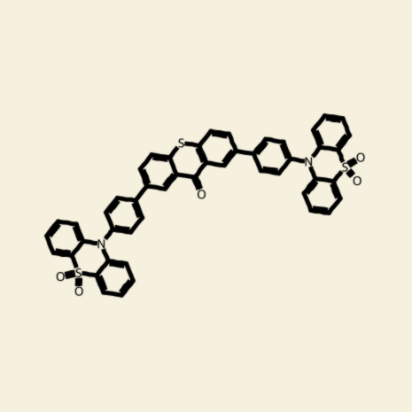 O=c1c2cc(-c3ccc(N4c5ccccc5S(=O)(=O)c5ccccc54)cc3)ccc2sc2ccc(-c3ccc(N4c5ccccc5S(=O)(=O)c5ccccc54)cc3)cc12